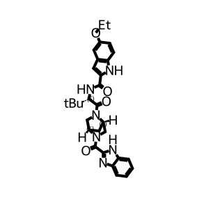 CCOc1ccc2[nH]c(C(=O)N[C@H](C(=O)N3C[C@@H]4C[C@H]3CN4C(=O)c3nc4ccccc4[nH]3)C(C)(C)C)cc2c1